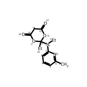 CCN(c1cccc(C)n1)C1(CC)OC(=O)CC(=O)O1